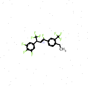 CCc1ccc(/C(F)=C/C(c2cc(F)c(F)c(F)c2)C(F)(F)F)cc1C(F)(F)F